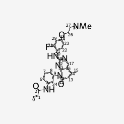 C=CC(=O)Nc1cccc(-n2c(=O)cc(C)c3cnc(Nc4ccc(OCCNC)cc4F)nc32)c1